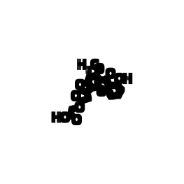 COc1cc2c(c3oc4cccc(O)c4c(=O)c13)C1CC(OCC(=O)O)OC1O2